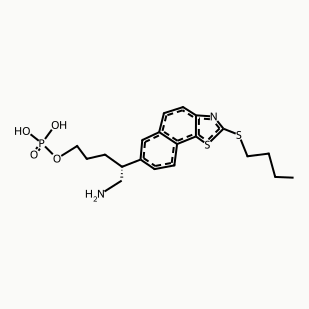 CCCCSc1nc2ccc3cc([C@H](CN)CCCOP(=O)(O)O)ccc3c2s1